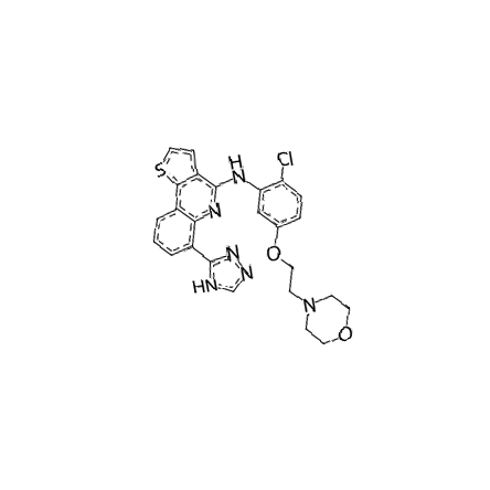 Clc1ccc(OCCN2CCOCC2)cc1Nc1nc2c(-c3nnc[nH]3)cccc2c2sccc12